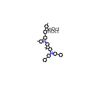 CCCCCCCCC1(CCCCCCCC)c2cc(C)ccc2-c2ccc(-c3ccc4c(c3)c3cc(C)ccc3n4-c3ccc4c(c3)C(C)(C)c3cc(N(c5ccc(-c6ccccc6)cc5)c5ccc(-c6ccccc6)cc5)ccc3-4)cc21